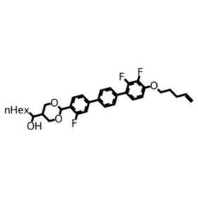 C=CCCCOc1ccc(-c2ccc(-c3ccc(C4OCC(C(O)CCCCCC)CO4)c(F)c3)cc2)c(F)c1F